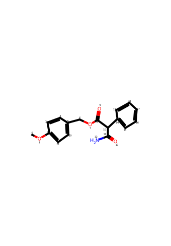 COc1ccc(COC(=O)C(C(N)=O)c2ccccc2)cc1